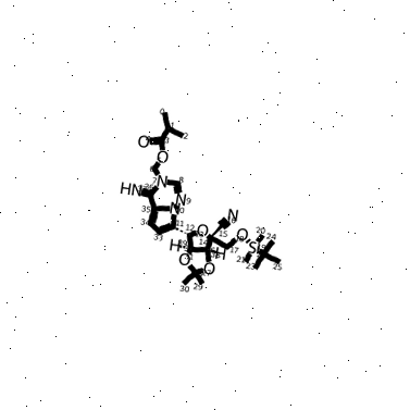 CC(C)C(=O)OCn1cnn2c([C@@H]3O[C@](C#N)(CO[Si](C)(C)C(C)(C)C)[C@H]4OC(C)(C)O[C@@H]34)ccc2c1=N